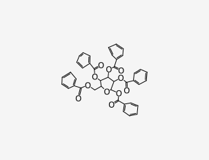 O=C(OCC1OC(OC(=O)c2ccccc2)C(OC(=O)c2ccccc2)C(OC(=O)c2ccccc2)C1OC(=O)c1ccccc1)c1ccccc1